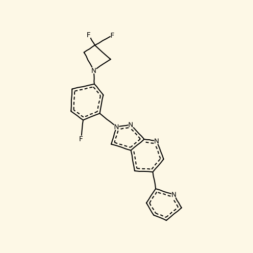 Fc1ccc(N2CC(F)(F)C2)cc1-n1cc2cc(-c3ccccn3)cnc2n1